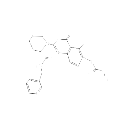 Cc1c(NC(=O)OC(C)(C)C)ccc2nc(N3CCCC[C@H]3C(=O)NCc3cccnc3)oc(=O)c12